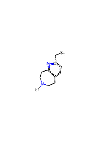 CCN1CCc2ccc(CC(C)C)nc2CC1